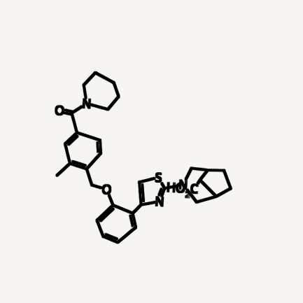 Cc1cc(C(=O)N2CCCCC2)ccc1COc1ccccc1-c1csc(N2CC3CCC(C2)C3C(=O)O)n1